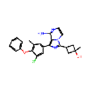 Cc1cc(-c2nc(C3CC(C)(O)C3)n3ccnc(N)c23)cc(Cl)c1Oc1ccccc1